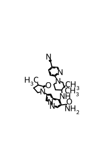 CC1CCN(c2cc3c(NC4CCN(c5ccc(C#N)cn5)CC4(C)C)c(C(N)=O)cnn3c2)C1=O